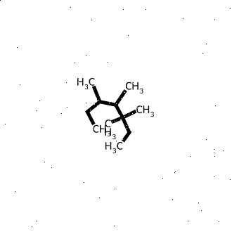 CCC(C)C(C)C(C)(C)CC